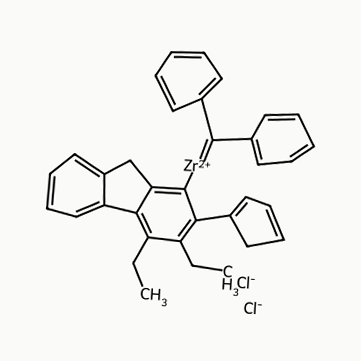 CCc1c(CC)c2c([c]([Zr+2]=[C](c3ccccc3)c3ccccc3)c1C1=CC=CC1)Cc1ccccc1-2.[Cl-].[Cl-]